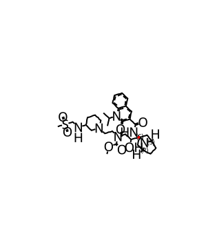 COC(=O)N(CCN1CCCC(NCS(C)(=O)=O)C1)CC(O)CN1[C@@H]2CC[C@H]1C[C@H](NC(=O)c1cc3ccccc3n(C(C)C)c1=O)C2